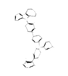 C1=CC(N(C2=CCC(C3=CC=C(n4c5c(c6ccccc64)CCCC5)CC3)C=C2)C2CC=C(c3ccccc3)CC2)=CCC1